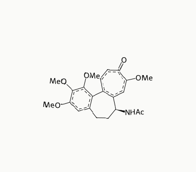 COc1cc2c(c(OC)c1OC)-c1ccc(=O)c(OC)cc1[C@@H](NC(C)=O)CC2